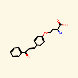 NC(CCOC1=CCC(C=CC(=O)c2ccccc2)C=C1)C(=O)O